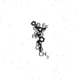 CCOC(=O)Cn1ncc2c1CCCC2NS(=O)(=O)c1cc(C(F)(F)F)cc(S(=O)(=O)C2CCCC2)c1